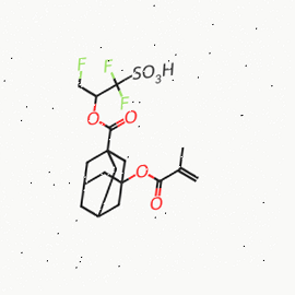 C=C(C)C(=O)OC12CC3CC(C1)CC(C(=O)OC(CF)C(F)(F)S(=O)(=O)O)(C3)C2